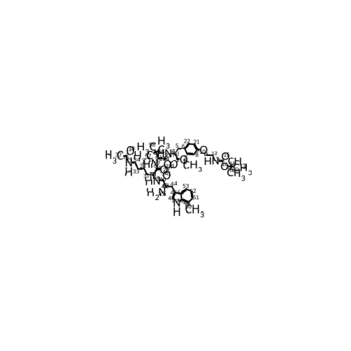 COC(=O)[C@H](Cc1ccc(OCCNC(=O)OC(C)(C)C)cc1)NC(=O)[C@@H](NC(=O)[C@H](CCCCNC(C)=O)NC(=O)[C@@H](N)Cc1c[nH]c2c(C)cccc12)C(C)(C)C